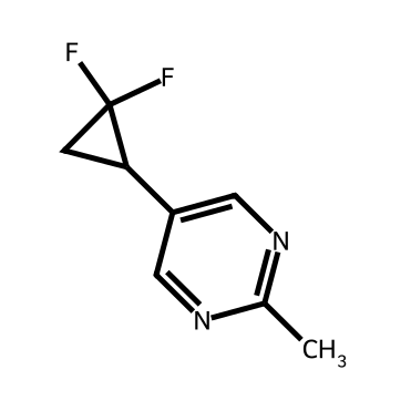 Cc1ncc(C2CC2(F)F)cn1